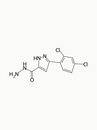 NNC(=O)c1cc(-c2ccc(Cl)cc2Cl)n[nH]1